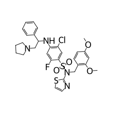 COc1ccc(CN(c2nccs2)S(=O)(=O)c2cc(Cl)c(NC(CN3CCCC3)c3ccccc3)cc2F)c(OC)c1